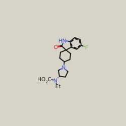 CCN(C(=O)O)[C@H]1CCN(C2CCC3(CC2)C(=O)Nc2ccc(F)cc23)C1